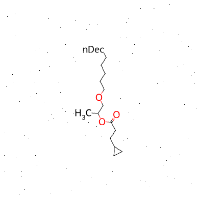 CCCCCCCCCCCCCCCOCC(C)OC(=O)CCC1CC1